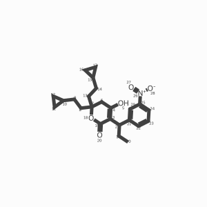 CCC(C1=C(O)CC(CCC2CC2)(CCC2CC2)OC1=O)c1cccc([N+](=O)[O-])c1